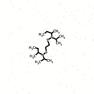 CCC(C)N(SCCSN(C(C)C)C(C)CC)C(C)C